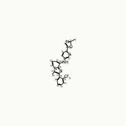 Cc1ncc(-c2ccc(Nc3cccn4c(C)c(-c5ccccc5C(F)(F)F)nc34)cn2)o1